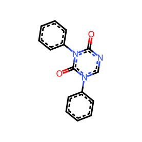 O=c1ncn(-c2ccccc2)c(=O)n1-c1ccccc1